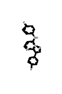 Fc1ccc(Nc2ccnc3c(-c4ccc(F)cc4)cnn23)cc1